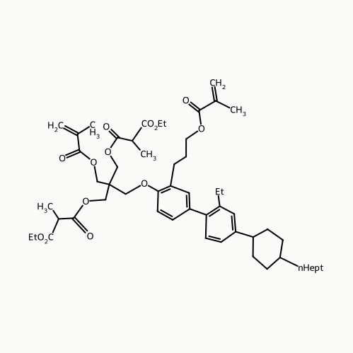 C=C(C)C(=O)OCCCc1cc(-c2ccc(C3CCC(CCCCCCC)CC3)cc2CC)ccc1OCC(COC(=O)C(=C)C)(COC(=O)C(C)C(=O)OCC)COC(=O)C(C)C(=O)OCC